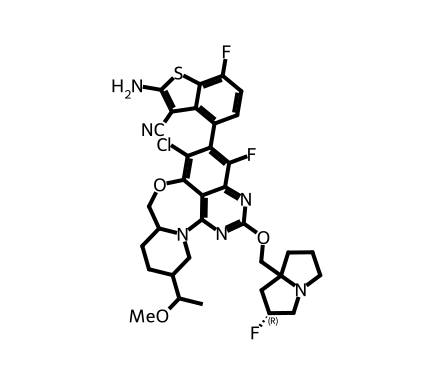 COC(C)C1CCC2COc3c(Cl)c(-c4ccc(F)c5sc(N)c(C#N)c45)c(F)c4nc(OCC56CCCN5C[C@H](F)C6)nc(c34)N2C1